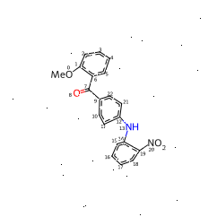 COc1ccccc1C(=O)c1ccc(Nc2ccccc2[N+](=O)[O-])cc1